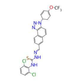 FC(F)(F)OC1=CCC(n2nnc3c4ccc(/C=N/NC(=S)Nc5c(Cl)cccc5Cl)cc4ccc32)C=C1